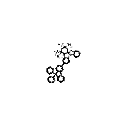 CC1(C)CC(C)(C)C2(C)c3cc(-c4ccc5c(c4)-c4ccccc4C5(c4ccccc4)c4ccccc4)ccc3N(c3ccccc3)C2(C)C1